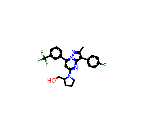 Cc1nn2c(-c3cccc(C(F)(F)F)c3)cc(N3CCCC3CO)nc2c1-c1ccc(F)cc1